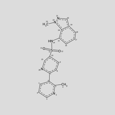 Cc1ncccc1-c1ccc(S(=O)(=O)Nc2cccc3cnn(C)c23)cn1